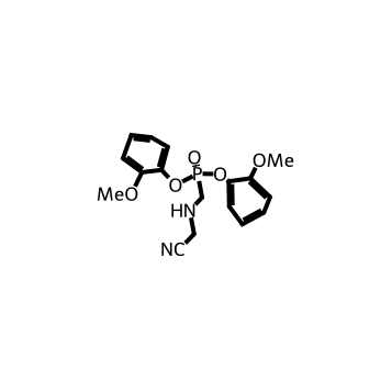 COc1ccccc1OP(=O)(CNCC#N)Oc1ccccc1OC